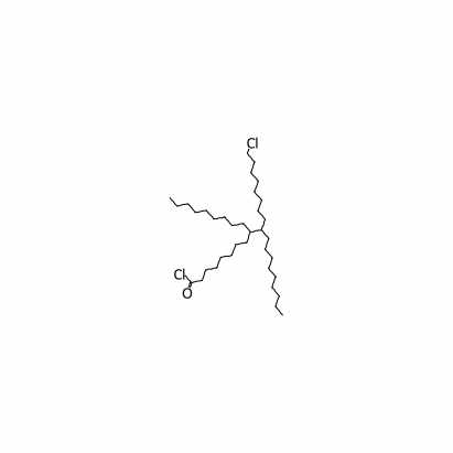 CCCCCCCCCC(CCCCCCCCCl)C(CCCCCCCCC)CCCCCCCC(=O)Cl